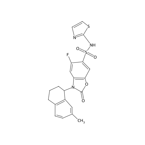 Cc1ccc2c(c1)C(n1c(=O)oc3cc(S(=O)(=O)Nc4nccs4)c(F)cc31)CCC2